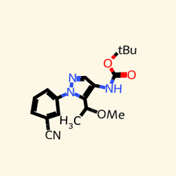 COC(C)c1c(NC(=O)OC(C)(C)C)cnn1-c1cccc(C#N)c1